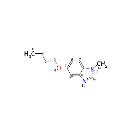 CCCCOc1ccc2c(c1)n[c]n2C